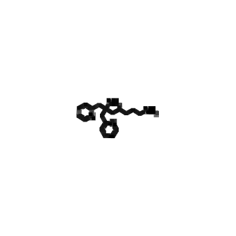 NCCCCCC(N)(Cc1ccccn1)Cc1ccccn1